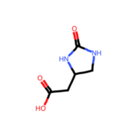 O=C(O)CC1CNC(=O)N1